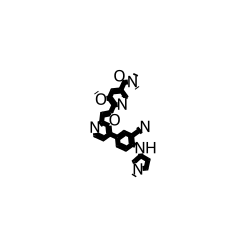 COc1cc(C(=O)N(C)C)cnc1-c1cc2nccc(-c3ccc(NC4CCN(C)C4)c(C#N)c3)c2o1